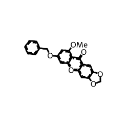 COc1cc(OCc2ccccc2)cc2oc3cc4c(cc3c(=O)c12)OCO4